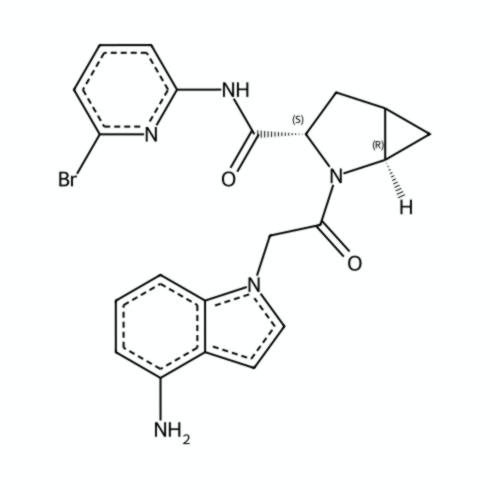 Nc1cccc2c1ccn2CC(=O)N1[C@@H]2CC2C[C@H]1C(=O)Nc1cccc(Br)n1